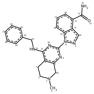 CN1CCc2c(nc(-n3ncc4c(C(N)=O)cccc43)nc2NCc2ccccc2)C1